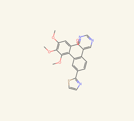 COc1cc(C=O)c(-c2cc(-c3nccs3)ccc2-c2cncnc2)c(OC)c1OC